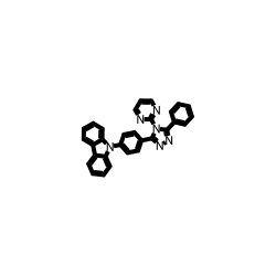 c1ccc(-c2nnc(-c3ccc(-n4c5ccccc5c5ccccc54)cc3)n2-c2ncccn2)cc1